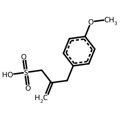 C=C(Cc1ccc(OC)cc1)CS(=O)(=O)O